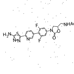 CC(=O)NCC1CN(c2cc(F)c(-c3ccc(-c4nnc(N)s4)nc3)c(F)c2)C(=O)O1